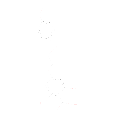 COc1ccc(OCCOc2cc(O)c(C(=O)O)c(O)c2)cc1.[Zn]